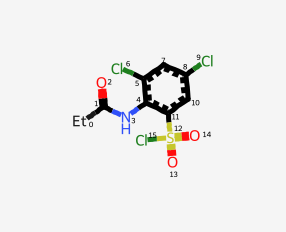 CCC(=O)Nc1c(Cl)cc(Cl)cc1S(=O)(=O)Cl